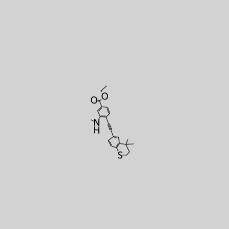 CCOC(=O)c1ccc(C#Cc2ccc3c(c2)C(C)(C)CCS3)c(NC)c1